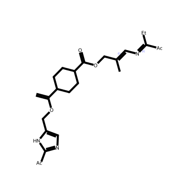 C=C(OCc1cnc(C(C)=O)[nH]1)C1CCC(C(=O)OC/C(C)=C/N=C(\CC)C(C)=O)CC1